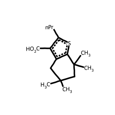 CCCc1sc2c(c1C(=O)O)CC(C)(C)CC2(C)C